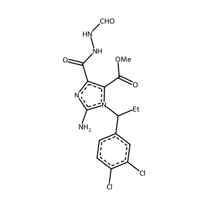 CCC(c1ccc(Cl)c(Cl)c1)n1c(N)nc(C(=O)NNC=O)c1C(=O)OC